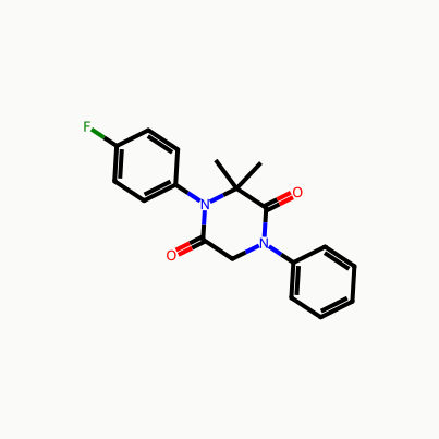 CC1(C)C(=O)N(c2ccccc2)CC(=O)N1c1ccc(F)cc1